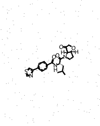 CC(C)C[C@H](NC(=O)c1ccc(-c2cscn2)cc1)C(=O)N1CC[C@H]2OCC(=O)[C@H]21